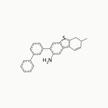 CC1C=Cc2c(sc3cc(-c4cccc(-c5ccccc5)c4)c(N)cc23)C1